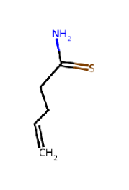 C=CCCC(N)=S